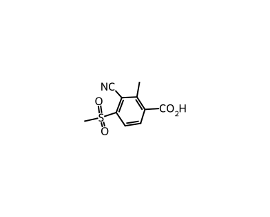 Cc1c(C(=O)O)ccc(S(C)(=O)=O)c1C#N